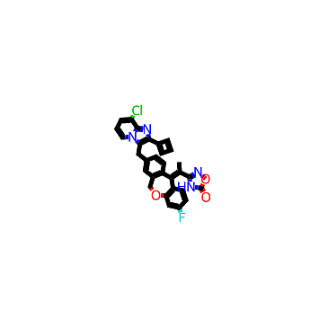 C/C(=C1\c2ccc(Cc3c(C4=CC=C4)nc4c(Cl)cccn34)cc2COc2cc(F)ccc21)c1noc(=O)[nH]1